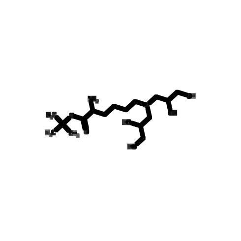 CC(C)(C)OC(=O)C(N)CCCCN(CC(O)CO)CC(O)CO